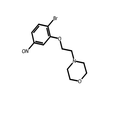 O=Nc1ccc(Br)c(OCCN2CCOCC2)c1